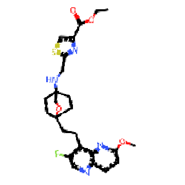 CCOC(=O)c1csc(CNC23CCC(CCc4c(F)cnc5ccc(OC)nc45)(CC2)OC3)n1